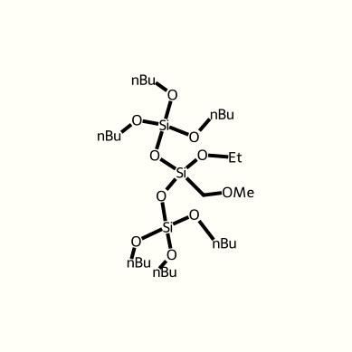 CCCCO[Si](OCCCC)(OCCCC)O[Si](COC)(OCC)O[Si](OCCCC)(OCCCC)OCCCC